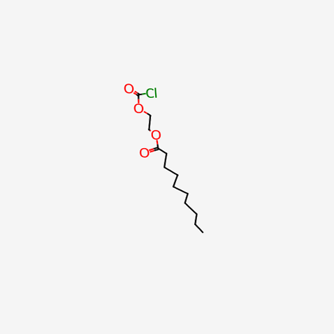 CCCCCCCCCC(=O)OCCOC(=O)Cl